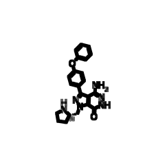 Nc1n[nH]c(=O)c2c1c(-c1ccc(Oc3ccccc3)cc1)nn2C[C@@H]1CCCN1